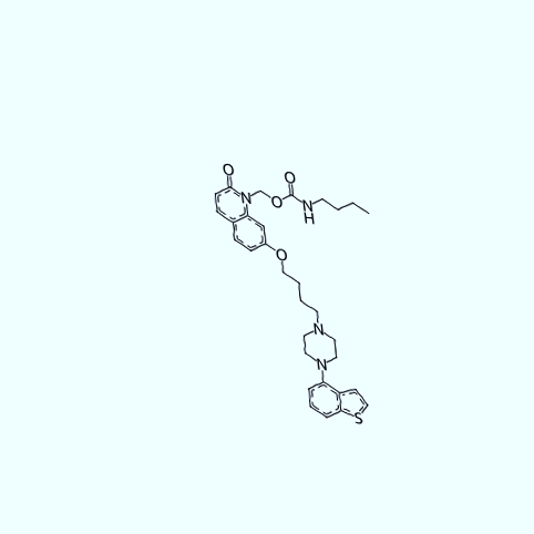 CCCCNC(=O)OCn1c(=O)ccc2ccc(OCCCCN3CCN(c4cccc5sccc45)CC3)cc21